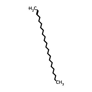 [CH2]/C=C/CCCCCCCCCCCCCCCCCCCCC